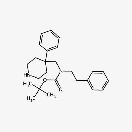 CC(C)(C)OC(=O)N(CCc1ccccc1)CC1(c2ccccc2)CCNCC1